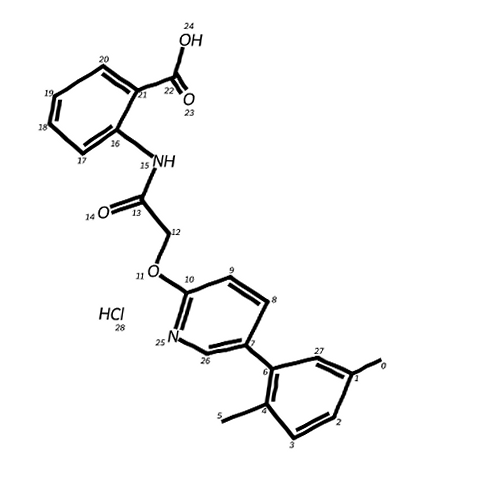 Cc1ccc(C)c(-c2ccc(OCC(=O)Nc3ccccc3C(=O)O)nc2)c1.Cl